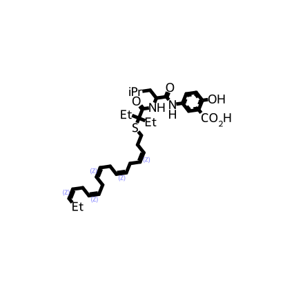 CC/C=C\C/C=C\C/C=C\C/C=C\C/C=C\CCSC(CC)(CC)C(=O)NC(CC(C)C)C(=O)Nc1ccc(O)c(C(=O)O)c1